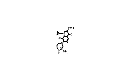 N[C@H]1CN(c2c(F)cc3c(=O)c(C(=O)O)cn(C4CC4)c3c2Cl)CCCN1